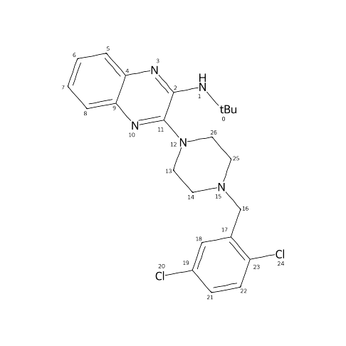 CC(C)(C)Nc1nc2ccccc2nc1N1CCN(Cc2cc(Cl)ccc2Cl)CC1